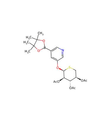 CC(=O)O[C@@H]1[C@@H](OC(C)=O)[C@@H](Oc2cncc(B3OC(C)(C)C(C)(C)O3)c2)SC[C@H]1OC(C)=O